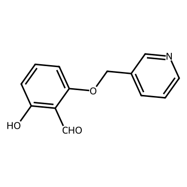 O=Cc1c(O)cccc1OCc1cccnc1